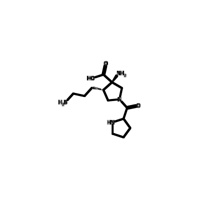 BCCC[C@H]1CN(C(=O)C2CCCN2)C[C@@]1(N)C(=O)O